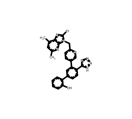 CCc1nc2c(C)cc(C)nc2n1Cc1ccc(-c2cc(-c3ccccc3O)ccc2-c2nnn[nH]2)cn1